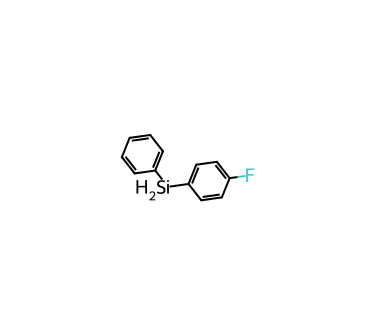 Fc1ccc([SiH2]c2ccccc2)cc1